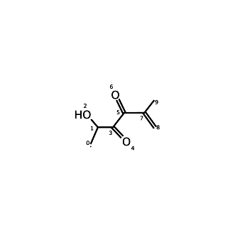 [CH2]C(O)C(=O)C(=O)C(=C)C